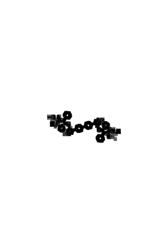 C[C@H]1CC[C@@H](c2nc(-c3ccc(-c4ccc(-c5c[nH]c([C@@H]6CC[C@H](C)N6C(=O)[C@@H](c6ccccc6)N(C)C(=O)O)n5)cc4)cc3)c[nH]2)N1C(=O)[C@@H](c1ccccc1)N(C)C(=O)O